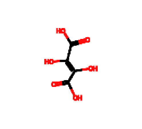 O=C(O)/C(O)=C(\O)C(=O)O